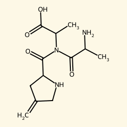 C=C1CNC(C(=O)N(C(=O)C(C)N)C(C)C(=O)O)C1